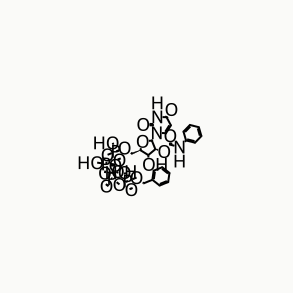 O=C(Nc1ccccc1)O[C@H]1C(O)[C@@H](COP(=O)(O)OP(=O)(O)OP(=O)(O)OP(=O)(O)OCc2ccccc2)O[C@H]1n1ccc(=O)[nH]c1=O